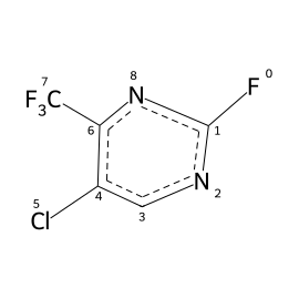 Fc1ncc(Cl)c(C(F)(F)F)n1